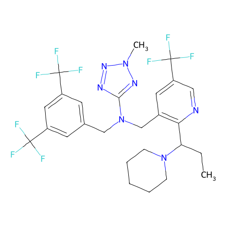 CCC(c1ncc(C(F)(F)F)cc1CN(Cc1cc(C(F)(F)F)cc(C(F)(F)F)c1)c1nnn(C)n1)N1CCCCC1